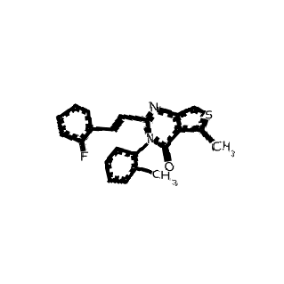 Cc1ccccc1-n1c(/C=C/c2ccccc2F)nc2csc(C)c2c1=O